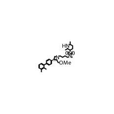 COCC1[C@@H](c2ccc(-c3cccc(C)c3C)cc2)CN1CCCCN(C)S(=O)(=O)C1CCC(C)NC1C